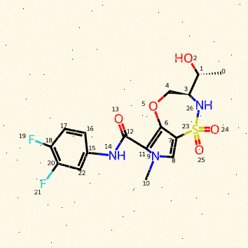 C[C@@H](O)[C@@H]1COc2c(cn(C)c2C(=O)Nc2ccc(F)c(F)c2)S(=O)(=O)N1